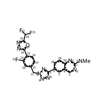 CNc1ncc2cc(-c3nnn(Cc4ccc(-c5nnc(C(F)F)o5)c(F)c4)n3)ccc2n1